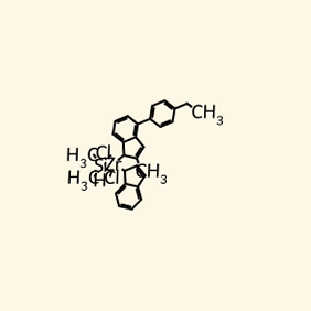 CCc1ccc(-c2cccc3c2C=C(C)[CH]3[Zr]([Cl])([Cl])([CH]2C=Cc3ccccc32)[SiH](C)C)cc1